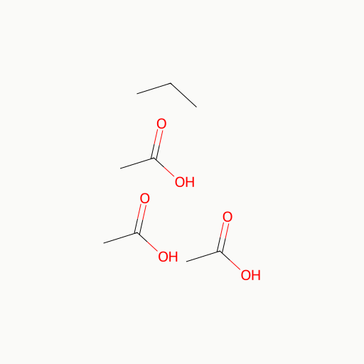 CC(=O)O.CC(=O)O.CC(=O)O.CCC